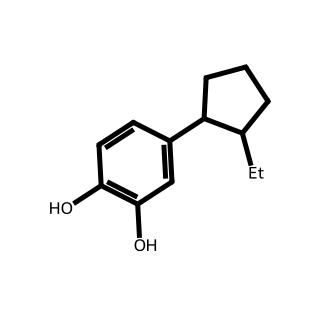 CCC1CCCC1c1ccc(O)c(O)c1